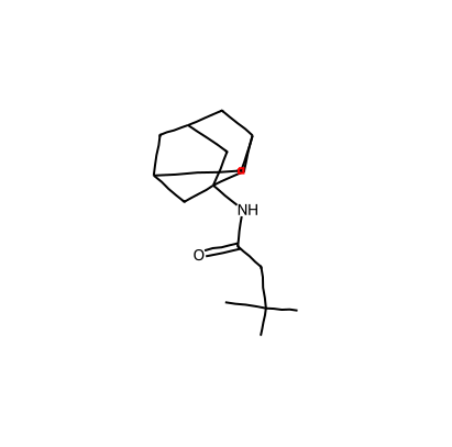 CC(C)(C)CC(=O)NC12CC3CC(CC(C3)C1)C2